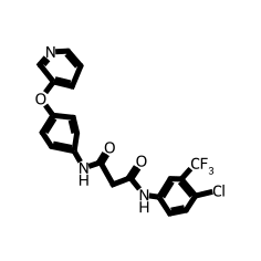 O=C(CC(=O)Nc1ccc(Cl)c(C(F)(F)F)c1)Nc1ccc(Oc2cccnc2)cc1